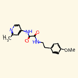 COc1ccc(CCNC(=O)C(=O)Nc2ccnc(C)c2)cc1